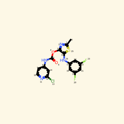 Cc1nc(OC(=O)Nc2ccnc(Cl)c2)c(Nc2cc(F)cc(F)c2)s1